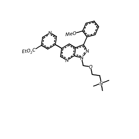 CCOC(=O)c1cncc(-c2cnc3c(c2)c(-c2ccccc2OC)nn3COCC[Si](C)(C)C)c1